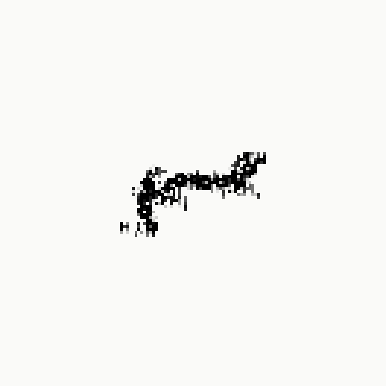 Cc1ncsc1-c1ccc(CNC(=O)[C@@H]2C[C@@H](CO)CN2C(=O)[C@@H](NC(=O)Cc2ccc(C(=O)Nc3ccc(-c4ccc(N5C(=S)N(c6ccc(C#N)c(C(F)(F)F)c6F)C(=O)C5(C)C)cn4)cc3)cc2)C(C)(C)C)cc1